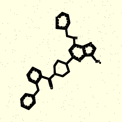 Bc1cnn2c(NCc3cccnc3)cc(C3CCN(C(=O)c4ccccc4Cc4ccccc4)CC3)nc12